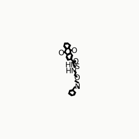 CN(CCOCCNC(=S)NC(=O)c1ccc2c(c1)C(=O)c1ccccc1C2=O)Cc1ccccc1